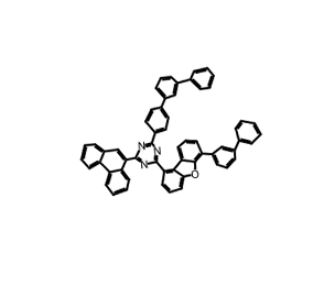 c1ccc(-c2cccc(-c3ccc(-c4nc(-c5cc6ccccc6c6ccccc56)nc(-c5cccc6oc7c(-c8cccc(-c9ccccc9)c8)cccc7c56)n4)cc3)c2)cc1